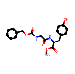 CCCCOC(=O)[C@H](Cc1ccc(O)cc1)NC(=O)CNC(=O)OCc1ccccc1